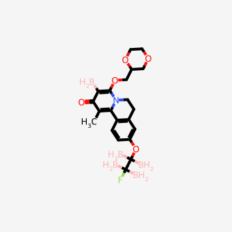 Bc1c(OCC2COCCO2)n2c(c(C)c1=O)-c1ccc(OC(B)(B)C(B)(B)F)cc1CC2